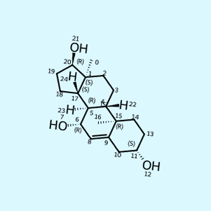 C[C@]12CC[C@H]3[C@@H]([C@@H](O)C=C4C[C@@H](O)CC[C@@]43C)[C@@H]1CC[C@H]2O